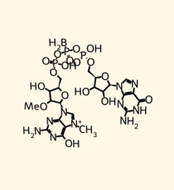 BP(=O)(OP(=O)(O)OC[C@H]1O[C@@H](n2cnc3c(=O)[nH]c(N)nc32)C(O)C1O)OP(=O)(O)OC[C@H]1O[C@@H](n2c[n+](C)c3c(O)nc(N)nc32)C(OC)C1O